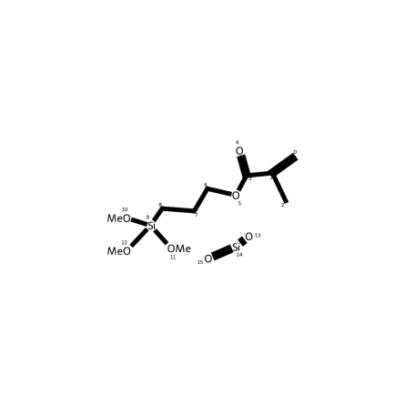 C=C(C)C(=O)OCCC[Si](OC)(OC)OC.O=[Si]=O